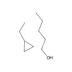 CCC1CC1.CCCCCO